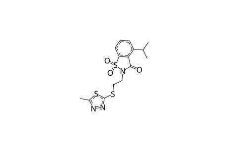 Cc1nnc(SCCN2C(=O)c3c(C(C)C)cccc3S2(=O)=O)s1